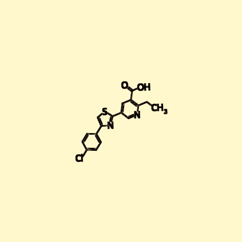 CCc1ncc(-c2nc(-c3ccc(Cl)cc3)cs2)cc1C(=O)O